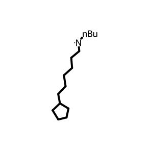 CCCC[N]CCCCCCC1CCCC1